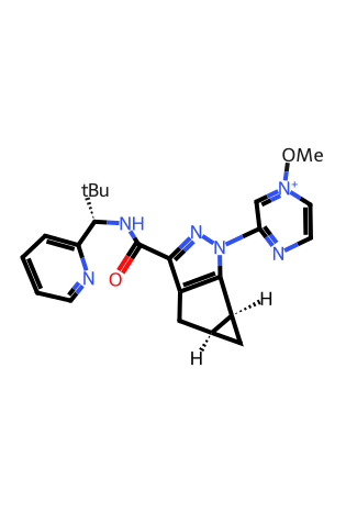 CO[n+]1ccnc(-n2nc(C(=O)N[C@H](c3ccccn3)C(C)(C)C)c3c2[C@H]2C[C@H]2C3)c1